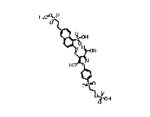 COS(=O)(=O)CCc1ccc2c(S(=O)(=O)O)c(N=Nc3c(C(=O)O)nn(-c4ccc(S(=O)(=O)CCOS(=O)(=O)O)cc4)c3O)ccc2c1